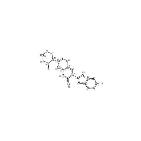 Cc1ccn2cc(-c3cc4ccc(N5CCNC[C@@H]5C)nc4oc3=O)nc2c1